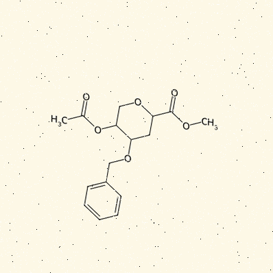 COC(=O)C1CC(OCc2ccccc2)C(OC(C)=O)CO1